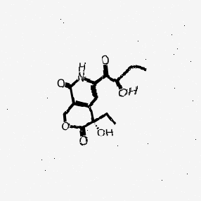 CCC(O)C(=O)c1cc2c(c(=O)[nH]1)COC(=O)[C@]2(O)CC